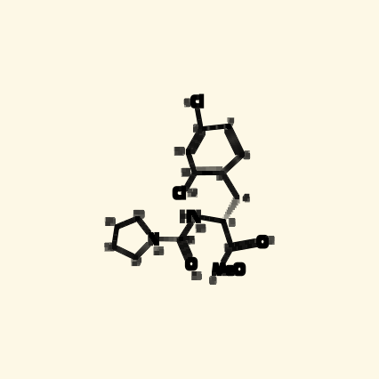 COC(=O)[C@@H](Cc1ccc(Cl)cc1Cl)NC(=O)N1CCCC1